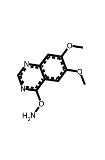 COc1cc2ncnc(ON)c2cc1OC